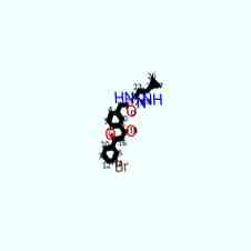 O=C(Cc1ccc2oc(-c3cccc(Br)c3)cc(=O)c2c1)Nc1cc(C2CC2)[nH]n1